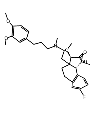 COc1ccc(CCCN(C)CCC2([C@@H](OC)C(=O)O)CCc3cc(F)ccc3[C@H]2C(C)C)cc1OC